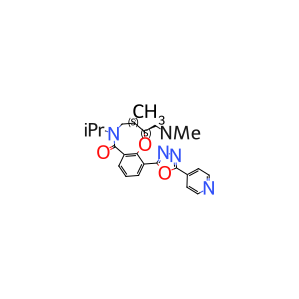 CNC[C@H]1Oc2c(cccc2-c2nnc(-c3ccncc3)o2)C(=O)N(C(C)C)C[C@@H]1C